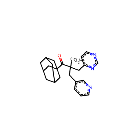 O=C(O)C(Cc1cccnc1)(Cc1ccncn1)C(=O)C12CC3CC(CC(C3)C1)C2